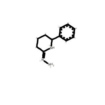 N/N=C1/CCCC(c2ccccc2)N1